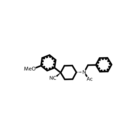 COc1cccc([C@]2(C#N)CC[C@H](N(Cc3ccccc3)C(C)=O)CC2)c1